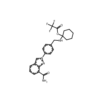 NC(=O)c1cccc2cn(-c3ccc(CNC4(OC(=O)C(F)(F)F)CCCCC4)cc3)nc12